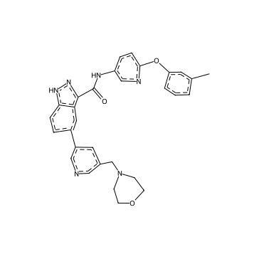 Cc1cccc(Oc2ccc(NC(=O)c3n[nH]c4ccc(-c5cncc(CN6CCOCC6)c5)cc34)cn2)c1